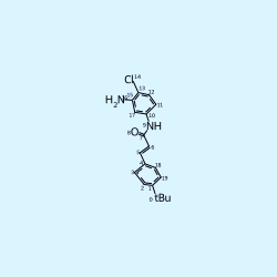 CC(C)(C)c1ccc(/C=C/C(=O)Nc2ccc(Cl)c(N)c2)cc1